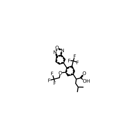 CC(C)CC(C(=O)O)c1cc(OCC(F)(F)F)c(-c2ccc3nonc3c2)c(C(F)(F)F)c1